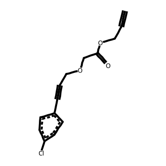 C#CCOC(=O)COCC#Cc1ccc(Cl)cc1